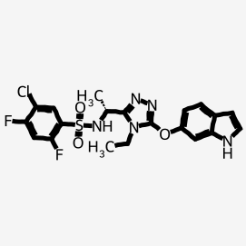 CCn1c(Oc2ccc3cc[nH]c3c2)nnc1[C@@H](C)NS(=O)(=O)c1cc(Cl)c(F)cc1F